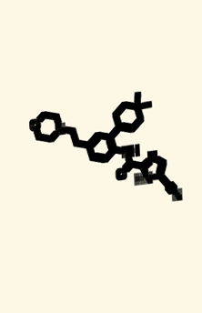 CC1(C)CC=C(c2cc(CCN3CCOCC3)ccc2NC(=O)c2ncc(C#N)[nH]2)CC1